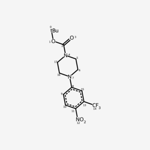 CC(C)(C)OC(=O)N1CCN(c2ccc([N+](=O)[O-])c(C(F)(F)F)c2)CC1